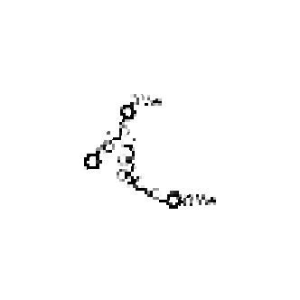 COc1ccc(COC/C=C/C(C)(C)C(=O)CC(=O)C[C@H](C)C[C@@H](OCc2ccc(OC)cc2)[C@@H](C)OCc2ccccc2)cc1